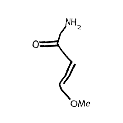 COC=CC(N)=O